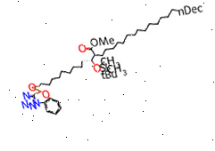 CCCCCCCCCCCCCCCCCCCCCCCCC(C(=O)OC)[C@@H](CCCCCCCCCS(=O)(=O)c1nnnn1-c1ccccc1)O[Si](C)(C)C(C)(C)C